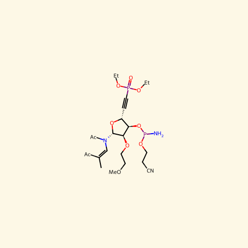 CCOP(=O)(C#C[C@H]1O[C@@H](N(/C=C(/C)C(C)=O)C(C)=O)[C@H](OCCOC)[C@@H]1OP(N)OCCC#N)OCC